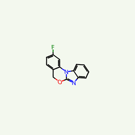 Fc1ccc2c(c1)-n1c(nc3ccccc31)OC2